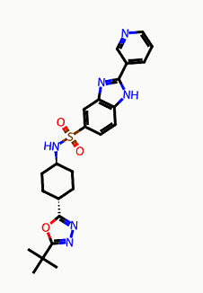 CC(C)(C)c1nnc([C@H]2CC[C@H](NS(=O)(=O)c3ccc4[nH]c(-c5cccnc5)nc4c3)CC2)o1